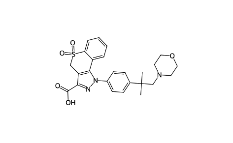 CC(C)(CN1CCOCC1)c1ccc(-n2nc(C(=O)O)c3c2-c2ccccc2S(=O)(=O)C3)cc1